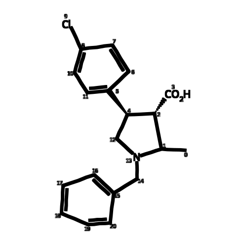 CC1[C@@H](C(=O)O)[C@H](c2ccc(Cl)cc2)CN1Cc1ccccc1